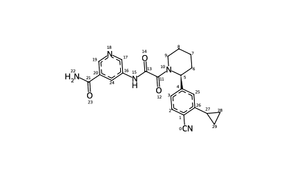 N#Cc1ccc([C@@H]2CCCCN2C(=O)C(=O)Nc2cncc(C(N)=O)c2)cc1C1CC1